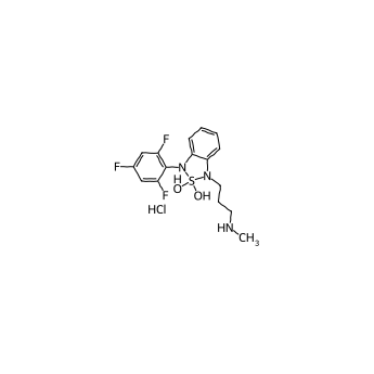 CNCCCN1c2ccccc2N(c2c(F)cc(F)cc2F)S1(O)O.Cl